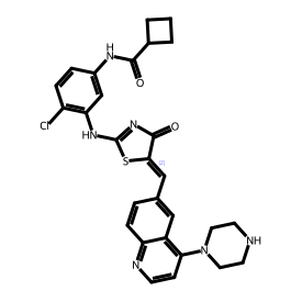 O=C1N=C(Nc2cc(NC(=O)C3CCC3)ccc2Cl)S/C1=C\c1ccc2nccc(N3CCNCC3)c2c1